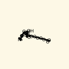 COC(=O)/C=C/COCCOCCOCCOCCOCC(=O)N[C@H](C(=O)N1C[C@H](O)C[C@H]1C(=O)NCc1ccc(-c2scnc2C)cc1)C(C)(C)C